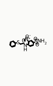 NS(=O)(=O)c1ccc(NCCSc2ccccc2)c([N+](=O)[O-])c1